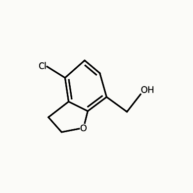 OCc1ccc(Cl)c2c1OCC2